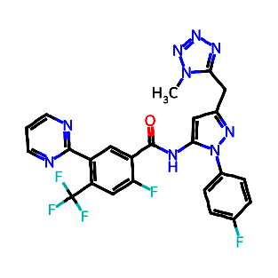 Cn1nnnc1Cc1cc(NC(=O)c2cc(-c3ncccn3)c(C(F)(F)F)cc2F)n(-c2ccc(F)cc2)n1